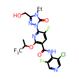 CCn1c(CO)nn(-c2nc(OC(C)C(F)(F)F)c(C(=O)Nc3c(F)cncc3Cl)cc2F)c1=O